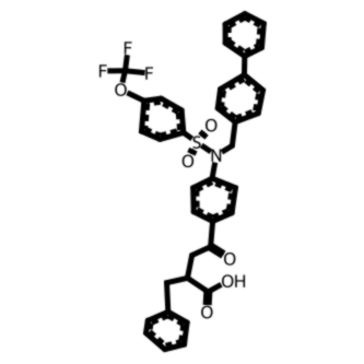 O=C(CC(Cc1ccccc1)C(=O)O)c1ccc(N(Cc2ccc(-c3ccccc3)cc2)S(=O)(=O)c2ccc(OC(F)(F)F)cc2)cc1